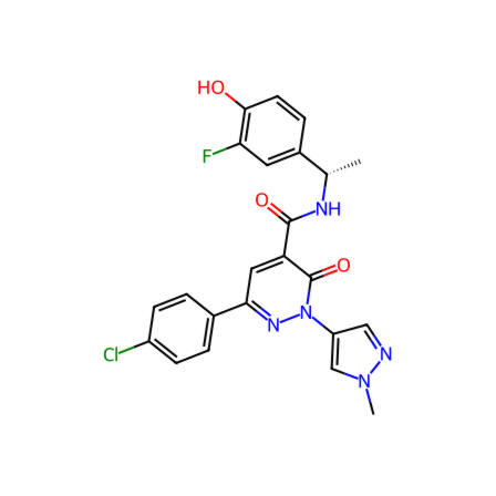 C[C@H](NC(=O)c1cc(-c2ccc(Cl)cc2)nn(-c2cnn(C)c2)c1=O)c1ccc(O)c(F)c1